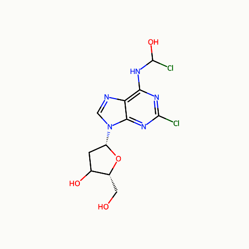 OC[C@H]1O[C@@H](n2cnc3c(NC(O)Cl)nc(Cl)nc32)CC1O